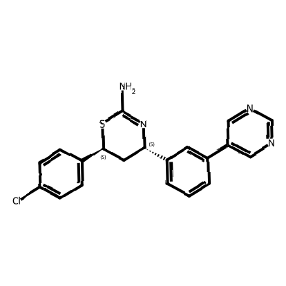 NC1=N[C@H](c2cccc(-c3cncnc3)c2)C[C@@H](c2ccc(Cl)cc2)S1